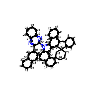 c1ccc2c(c1)-c1c(c3c4c5ccccc5ccc4n(-c4nc5ccccc5nc4-c4ccc5ccccc5c4)c3c3ccccc13)C21CCCCC1